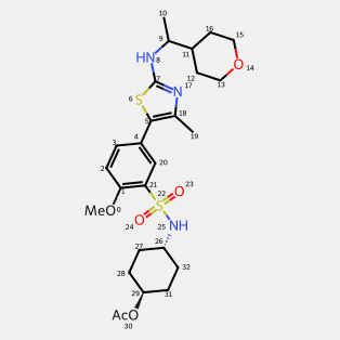 COc1ccc(-c2sc(NC(C)C3CCOCC3)nc2C)cc1S(=O)(=O)N[C@H]1CC[C@H](OC(C)=O)CC1